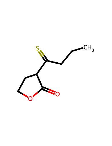 CCCC(=S)C1CCOC1=O